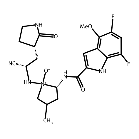 COc1c(F)cc(F)c2[nH]c(C(=O)N[C@@H]3CC(C)C[N+]3([O-])N[C@H](C#N)C[C@@H]3CCNC3=O)cc12